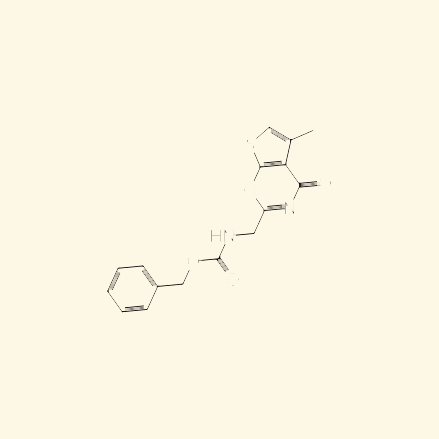 Cc1csc2oc(CNC(=O)OCc3ccccc3)nc(=O)c12